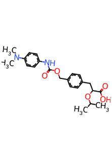 CC(C)OC(Cc1ccc(COC(=O)Nc2ccc(N(C)C)cc2)cc1)C(=O)O